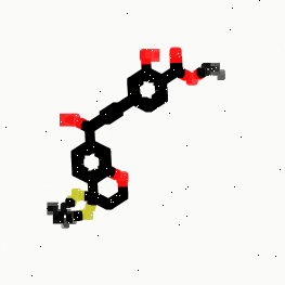 COC(=O)c1ccc(C#CC(O)c2ccc3c(c2)OCCC3(SC)SC)cc1O